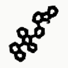 c1cc(-c2c3ccccc3c(-c3cccc4ccccc34)c3ccccc23)cc(-c2cccc3c2sc2ccccc23)c1